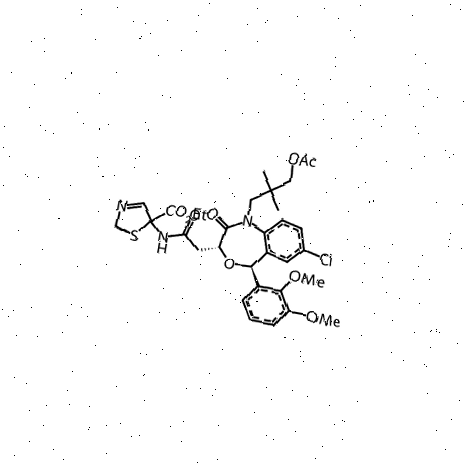 CCOC(=O)C1(NC(=O)C[C@H]2O[C@H](c3cccc(OC)c3OC)c3cc(Cl)ccc3N(CC(C)(C)COC(C)=O)C2=O)C=NCS1